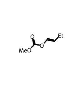 CCC=COC(=O)OC